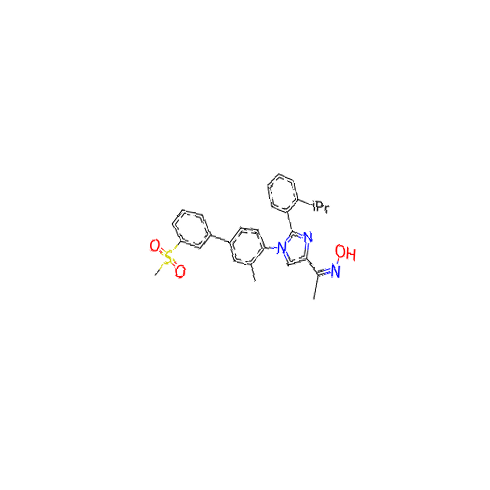 C/C(=N/O)c1cn(-c2ccc(-c3cccc(S(C)(=O)=O)c3)cc2C)c(-c2ccccc2C(C)C)n1